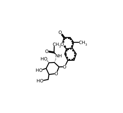 CC(=O)N[C@@H]1C(Oc2ccc3c(C)cc(=O)oc3c2)OC(CO)C(O)[C@@H]1O